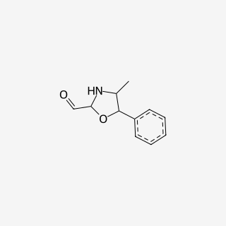 CC1NC(C=O)OC1c1ccccc1